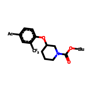 CC(=O)c1ccc(OC2CCCN(C(=O)OC(C)(C)C)C2)c(C(F)(F)F)c1